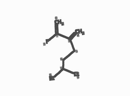 C=C(F)C(=C)CCC(CC)CC